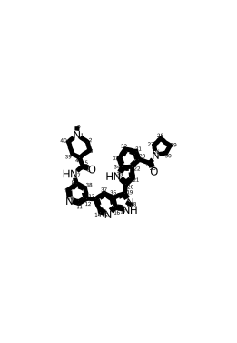 CN1CCC(C(=O)Nc2cncc(-c3cnc4[nH]nc(-c5cc6c(C(=O)N7CCCC7)cccc6[nH]5)c4c3)c2)CC1